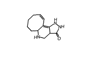 O=C1NNC2=C3C=CCCCCC3NCC12